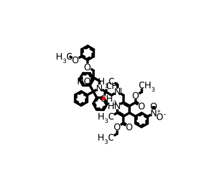 CCOC(=O)C1=C(C)NC(CN(CC)CC(C)(C)N(CC(O)COc2ccccc2OC)C(c2ccccc2)(c2ccccc2)c2ccccc2)=C(C(=O)OCC)C1c1cccc([N+](=O)[O-])c1